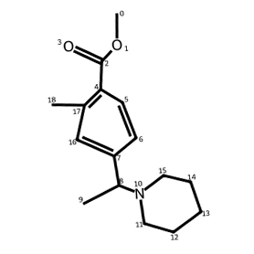 COC(=O)c1ccc(C(C)N2CCCCC2)cc1C